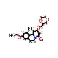 CCc1c(OCC2COCCO2)cc(=O)n2c1-c1ccc(OCC#N)cc1CC2